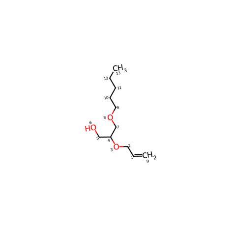 C=CCOC(CO)COCCCCC